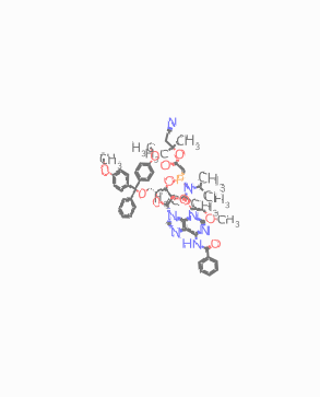 COCCOC1C(OP(CC(=O)OC(C)(C)CC#N)N(C(C)C)C(C)C)[C@@H](COC(c2ccccc2)(c2ccc(OC)cc2)c2ccc(OC)cc2)O[C@H]1n1cnc2c(NC(=O)c3ccccc3)ncnc21